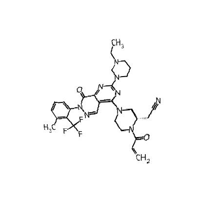 C=CC(=O)N1CCN(c2nc(N3CCCN(CC)C3)nc3c(=O)n(-c4cccc(C)c4C(F)(F)F)ncc23)C[C@@H]1CC#N